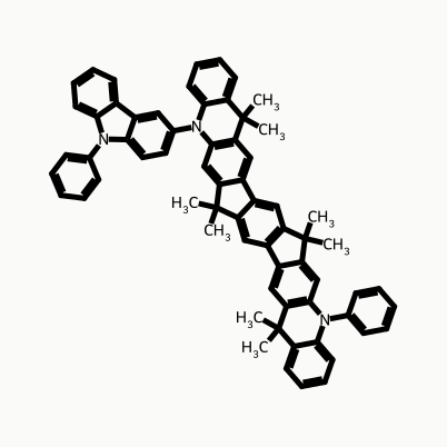 CC1(C)c2cc3c(cc2-c2cc4c(cc21)N(c1ccccc1)c1ccccc1C4(C)C)C(C)(C)c1cc2c(cc1-3)C(C)(C)c1ccccc1N2c1ccc2c(c1)c1ccccc1n2-c1ccccc1